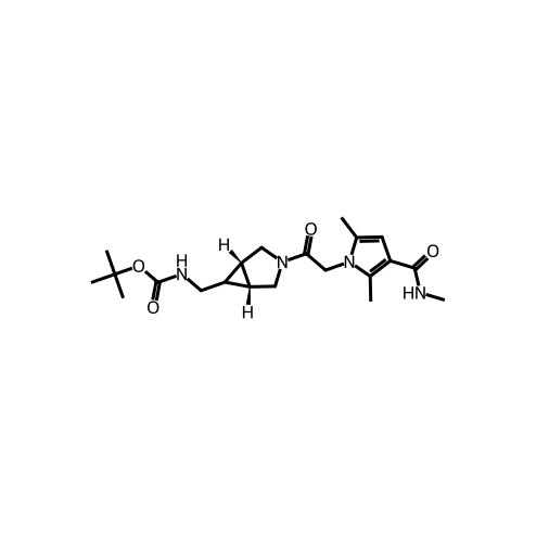 CNC(=O)c1cc(C)n(CC(=O)N2C[C@@H]3C(CNC(=O)OC(C)(C)C)[C@@H]3C2)c1C